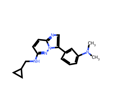 CN(C)c1cccc(-c2cnc3ccc(NCC4CC4)nn23)c1